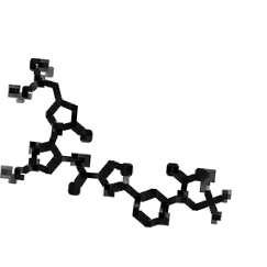 CN(C)CC1CC(=O)N(c2nn(C)cc2NC(=O)c2coc(-c3ccnc(N(CC(F)(F)F)C(=O)O)c3)n2)C1